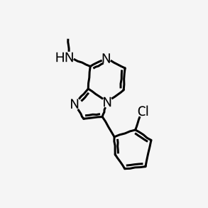 CNc1nccn2c(-c3ccccc3Cl)cnc12